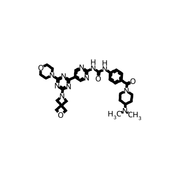 CN(C)C1CCN(C(=O)c2ccc(NC(=O)Nc3ncc(-c4nc(N5CCOCC5)nc(N5CC6(COC6)C5)n4)cn3)cc2)CC1